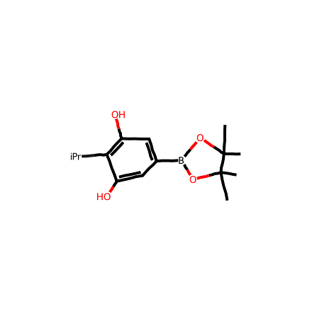 CC(C)c1c(O)cc(B2OC(C)(C)C(C)(C)O2)cc1O